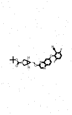 CC(C)(C)OC(=O)N1C[C@@H]2[C@@H](COc3cnc4ccc(Oc5c(F)ccc(F)c5C#N)cc4n3)[C@@H]2C1